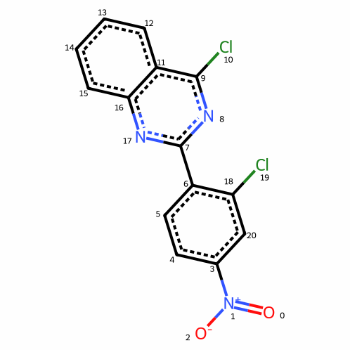 O=[N+]([O-])c1ccc(-c2nc(Cl)c3ccccc3n2)c(Cl)c1